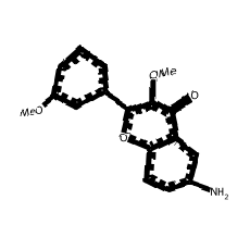 COc1cccc(-c2oc3ccc(N)cc3c(=O)c2OC)c1